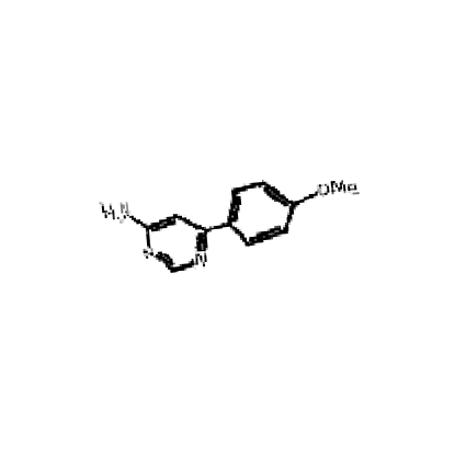 COc1ccc(-c2cc(N)ncn2)cc1